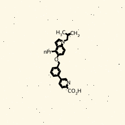 C=C(C)Cn1ccc2c(CCC)c(OCc3cccc(-c4ccc(C(=O)O)nc4)c3)ccc21